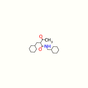 CC(=O)C(CC1CCCCC1)C(=O)NCC1CCCCC1